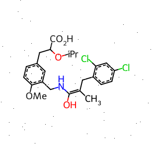 COc1ccc(CC(OC(C)C)C(=O)O)cc1CN/C(O)=C(/C)Cc1ccc(Cl)cc1Cl